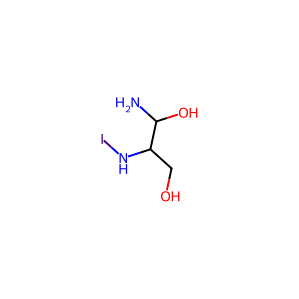 NC(O)C(CO)NI